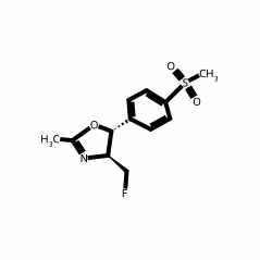 CC1=N[C@H](CF)[C@@H](c2ccc(S(C)(=O)=O)cc2)O1